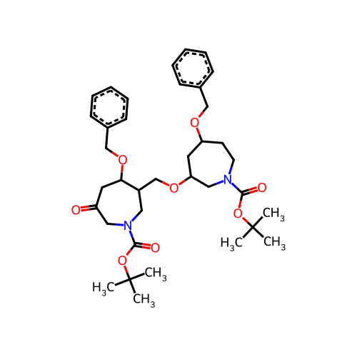 CC(C)(C)OC(=O)N1CCC(OCc2ccccc2)CC(OCC2CN(C(=O)OC(C)(C)C)CC(=O)CC2OCc2ccccc2)C1